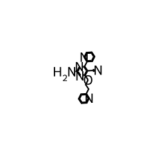 N#Cc1c(OCCc2ccccn2)nc(N)nc1-c1ccccn1